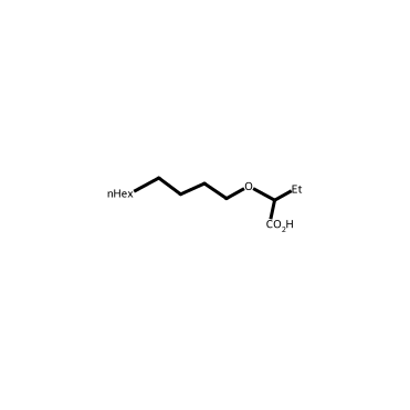 CCCCCCCCCCOC(CC)C(=O)O